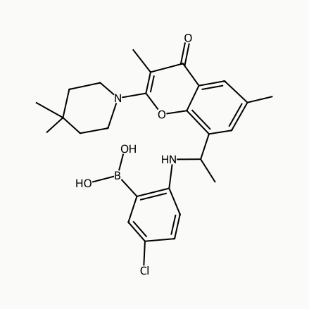 Cc1cc(C(C)Nc2ccc(Cl)cc2B(O)O)c2oc(N3CCC(C)(C)CC3)c(C)c(=O)c2c1